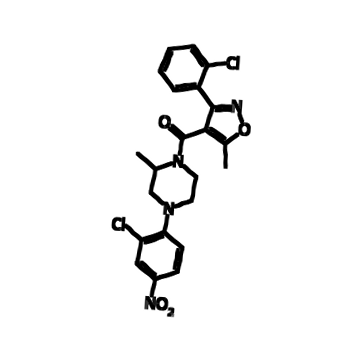 Cc1onc(-c2ccccc2Cl)c1C(=O)N1CCN(c2ccc([N+](=O)[O-])cc2Cl)CC1C